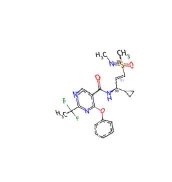 CN=[S@](C)(=O)/C=C/[C@H](NC(=O)c1cnc(C(C)(F)F)nc1Oc1ccccc1)C1CC1